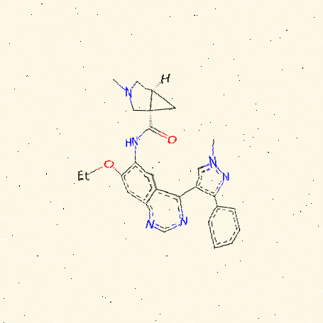 CCOc1cc2ncnc(-c3cn(C)nc3-c3ccccc3)c2cc1NC(=O)[C@@]12C[C@@H]1CN(C)C2